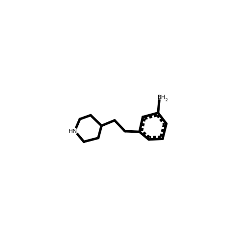 Bc1cccc(CCC2CCNCC2)c1